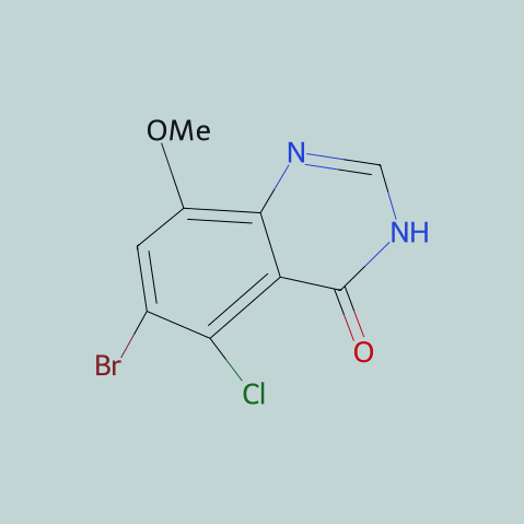 COc1cc(Br)c(Cl)c2c(=O)[nH]cnc12